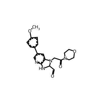 COc1ccc(-c2cnc3c(c2)N(CC(=O)N2CCOCC2)C(C=O)N3)cc1